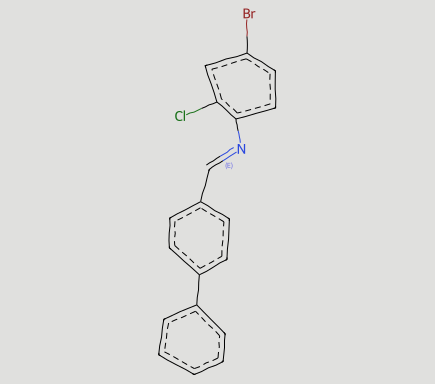 Clc1cc(Br)ccc1/N=C/c1ccc(-c2ccccc2)cc1